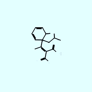 CC(=C(C(=O)O)C(=O)O)C1(CC(C)C)C=CC=CC1C